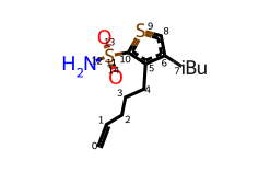 C=CCCCc1c(C(C)CC)csc1S(N)(=O)=O